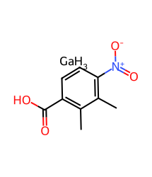 Cc1c(C(=O)O)ccc([N+](=O)[O-])c1C.[GaH3]